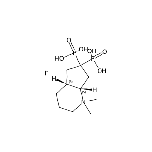 C[N+]1(C)CCC[C@@H]2CC(P(=O)(O)O)(P(=O)(O)O)C[C@@H]21.[I-]